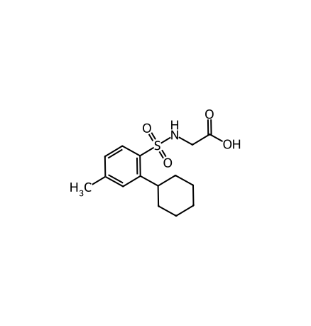 Cc1ccc(S(=O)(=O)NCC(=O)O)c(C2CCCCC2)c1